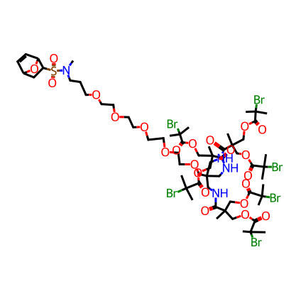 CN(CCCOCCOCCOCCOCCOCC(CNC(=O)C(C)(COC(=O)C(C)(C)Br)COC(=O)C(C)(C)Br)(CNC(=O)C(C)(COC(=O)C(C)(C)Br)COC(=O)C(C)(C)Br)CNC(=O)C(C)(COC(=O)C(C)(C)Br)COC(=O)C(C)(C)Br)S(=O)(=O)C1CC2C=CC1O2